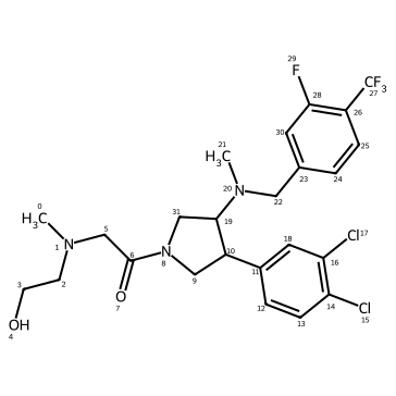 CN(CCO)CC(=O)N1CC(c2ccc(Cl)c(Cl)c2)C(N(C)Cc2ccc(C(F)(F)F)c(F)c2)C1